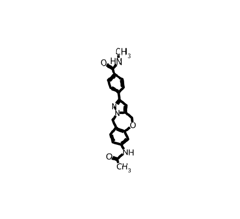 CNC(=O)c1ccc(-c2cc3n(n2)Cc2ccc(NC(C)=O)cc2OC3)cc1